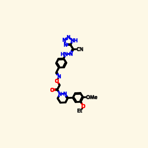 CCOc1cc(C2=NN(C(=O)CON=Cc3ccc(NN=C(C#N)c4nnn[nH]4)cc3)CCC2)ccc1OC